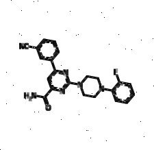 N#Cc1cccc(-c2cc(C(N)=O)nc(N3CCN(c4ccccc4F)CC3)n2)c1